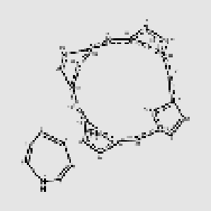 C1=CC=CNC=C1.C1=Cc2cc3nnc(nc4nc(cc5ccc(cc1n2)[nH]5)C=N4)[nH]3